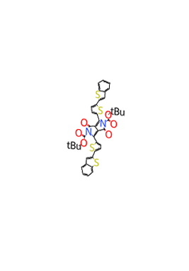 CC(C)(C)OC(=O)N1C(=O)C2=C(c3ccc(-c4cc5ccccc5s4)s3)N(C(=O)OC(C)(C)C)C(=O)C2=C1c1ccc(-c2cc3ccccc3s2)s1